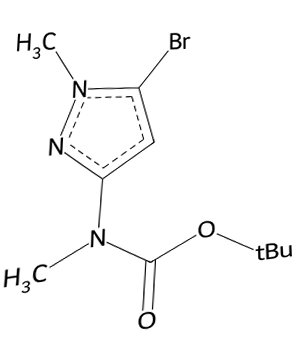 CN(C(=O)OC(C)(C)C)c1cc(Br)n(C)n1